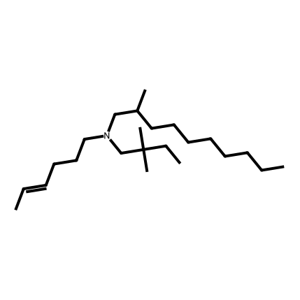 C/C=C/CCCN(CC(C)CCCCCCCC)CC(C)(C)CC